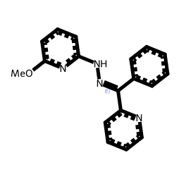 COc1cccc(N/N=C(\c2ccccc2)c2ccccn2)n1